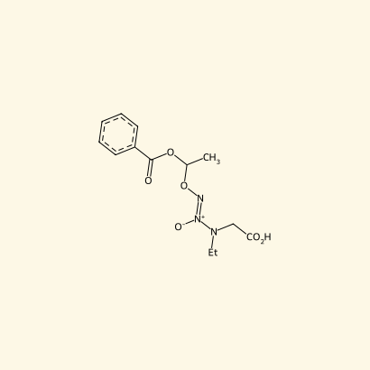 CCN(CC(=O)O)[N+]([O-])=NOC(C)OC(=O)c1ccccc1